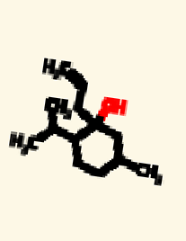 C=CCC1(O)CC(C)CCC1C(C)C